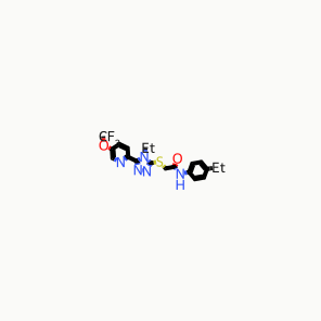 CCc1ccc(NC(=O)CSc2nnc(-c3ccc(OC(F)(F)F)cn3)n2CC)cc1